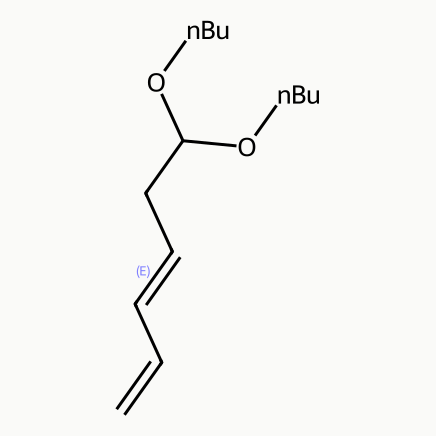 C=C/C=C/CC(OCCCC)OCCCC